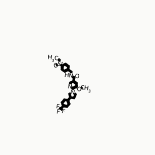 CC[S+]([O-])c1ccc(CNC(=O)c2cnc(N3CCC(c4ccc(C(F)(F)F)cc4)C3)c(OC)c2)cc1